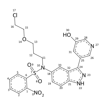 O=[N+]([O-])c1ccccc1S(=O)(=O)N(CCCOCCCl)c1ccc2[nH]nc(-c3cncc(O)c3)c2c1